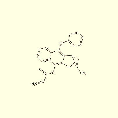 C=CC(=O)Oc1c2c(c(Oc3ccccc3)c3ccccc13)C1C=C(C)C2C1